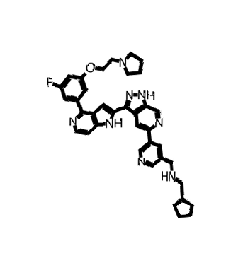 Fc1cc(OCCN2CCCC2)cc(-c2nccc3[nH]c(-c4n[nH]c5cnc(-c6cncc(CNCC7CCCC7)c6)cc45)cc23)c1